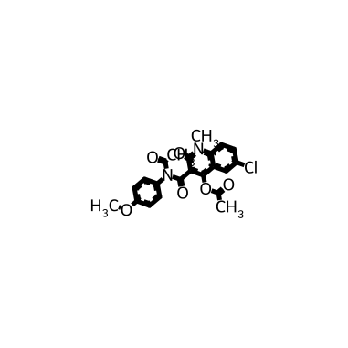 COc1ccc(N(C(C)=O)C(=O)c2c(OC(C)=O)c3cc(Cl)ccc3n(C)c2=O)cc1